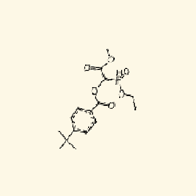 CCO[PH](=O)C(OC(=O)c1ccc(C(C)(C)C)cc1)C(=O)OC